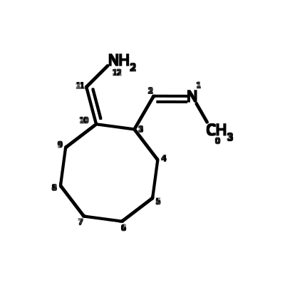 C/N=C\C1CCCCCC/C1=C/N